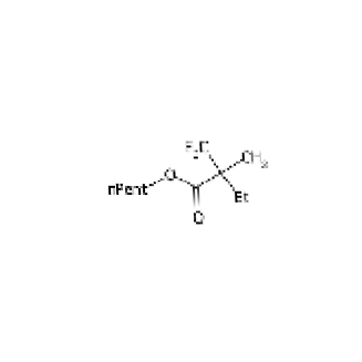 CCCCCOC(=O)C(C)(CC)C(F)(F)F